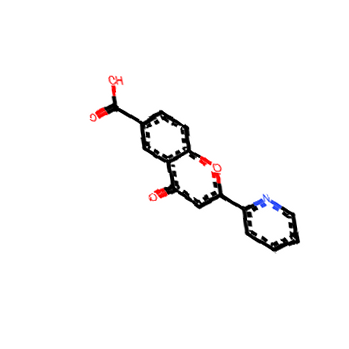 O=C(O)c1ccc2oc(-c3ccccn3)cc(=O)c2c1